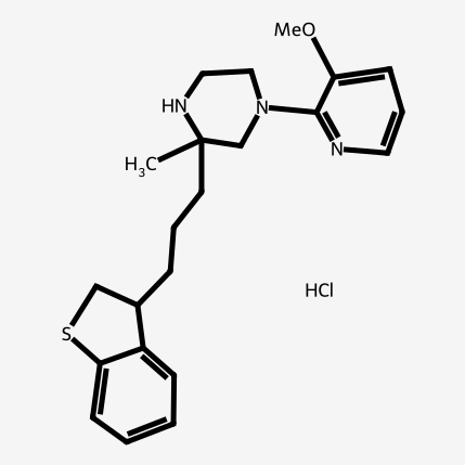 COc1cccnc1N1CCNC(C)(CCCC2CSc3ccccc32)C1.Cl